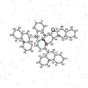 c1ccc(N(c2ccc(-c3cc4ccccc4c4ccccc34)cc2)c2cc3ccccc3c3ccccc23)c(-c2cccc3c2oc2cc4ccccc4cc23)c1